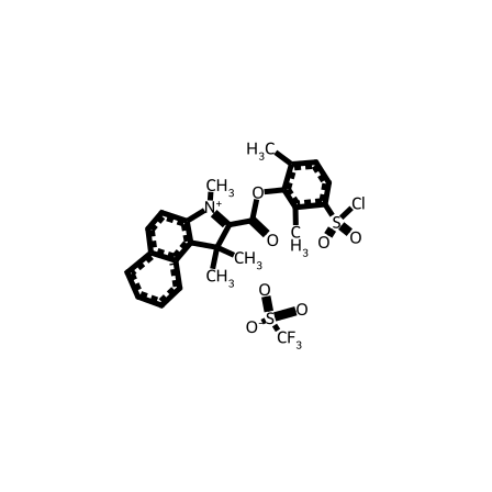 Cc1ccc(S(=O)(=O)Cl)c(C)c1OC(=O)C1=[N+](C)c2ccc3ccccc3c2C1(C)C.O=S(=O)([O-])C(F)(F)F